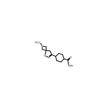 COC(=O)C1CCC(C2=NOC3(C2)CN(C(=O)O)C3)CC1